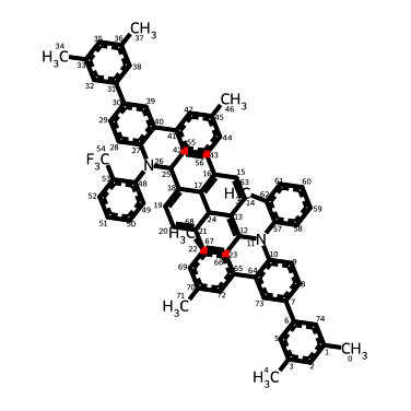 Cc1cc(C)cc(-c2ccc(N(C3=C4C=CC5=C6C(=CC=C(C=C3)C46)C(N(c3ccc(-c4cc(C)cc(C)c4)cc3-c3cccc(C)c3)c3ccccc3C(F)(F)F)C=C5)c3ccccc3C)c(-c3cc(C)cc(C)c3)c2)c1